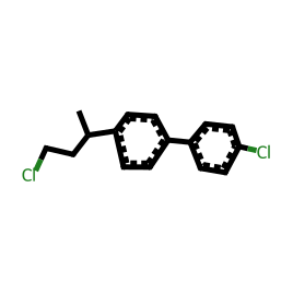 CC(CCCl)c1ccc(-c2ccc(Cl)cc2)cc1